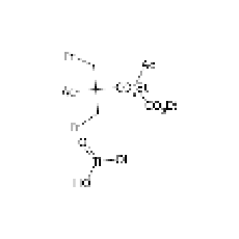 CCOC(=O)C(CC(C)C)(CC(C)C)C(C)=O.CCOC(=O)CC(C)=O.[O]=[Ti]([OH])[OH]